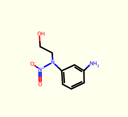 Nc1cccc(N(CCO)[N+](=O)[O-])c1